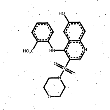 O=C(O)c1ccccc1Nc1c(S(=O)(=O)N2CCOCC2)cnc2ccc(O)cc12